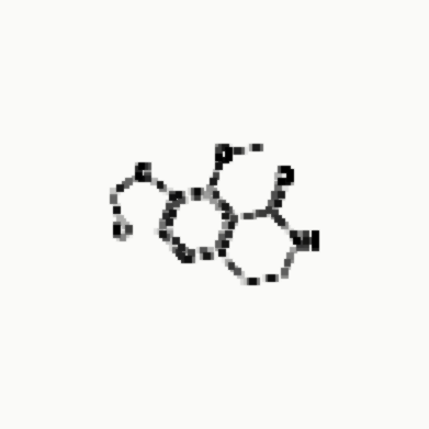 COc1c2c(cc3c1C(=O)NCC3)OCO2